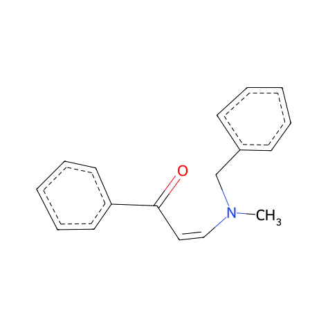 CN(/C=C\C(=O)c1ccccc1)Cc1ccccc1